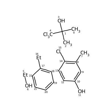 CC(C)(O)C(Cl)(Cl)Cl.CCO.Cc1cc(O)ccc1Cl.[CH2]Cc1ccccc1